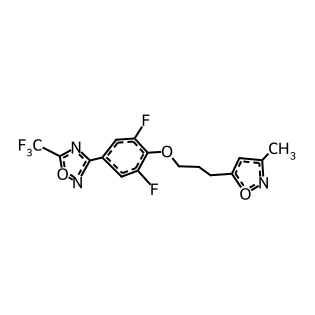 Cc1cc(CCCOc2c(F)cc(-c3noc(C(F)(F)F)n3)cc2F)on1